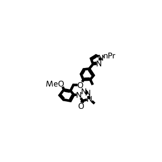 CCCn1ccc(-c2ccc(OCc3c(OC)cccc3-n3nnn(C)c3=O)c(C)c2)n1